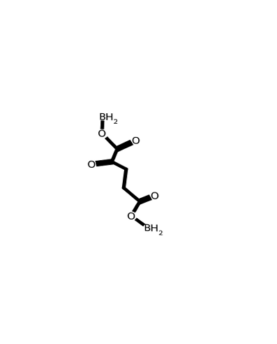 BOC(=O)CCC(=O)C(=O)OB